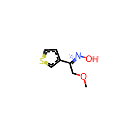 COC/C(=N\O)c1ccsc1